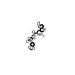 COc1ccc2nccc(CC(N)C(=O)NC[C@@H]3CN(c4ccc5c(c4)OCCO5)C(=O)O3)c2n1